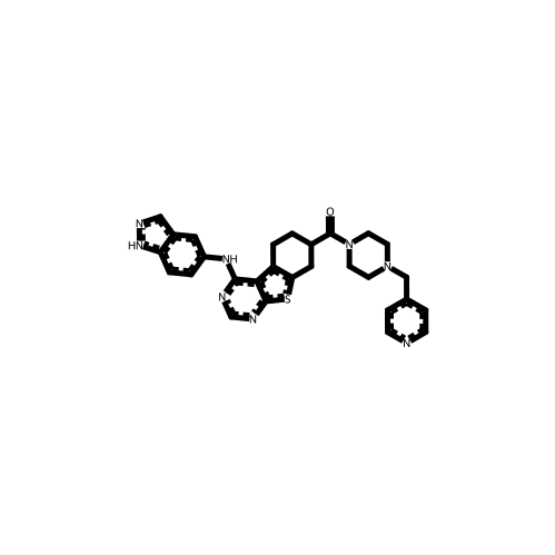 O=C(C1CCc2c(sc3ncnc(Nc4ccc5[nH]ncc5c4)c23)C1)N1CCN(Cc2ccncc2)CC1